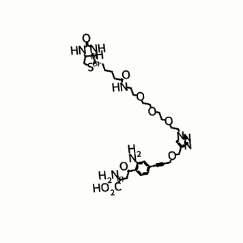 Nc1cc(C#CCOCc2cn(CCOCCOCCOCCNC(=O)CCCC[C@@H]3SCC4NC(=O)N[C@@H]43)nn2)ccc1C(=O)C[C@H](N)C(=O)O